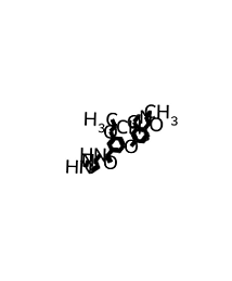 CC(C)Oc1cc(Oc2ccc3c(c2)OCN(C)C3=O)cc(C(=O)Nc2cc[nH]n2)c1